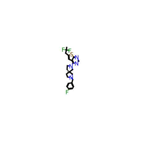 CC(F)(F)Cc1cc2c(N3CC[C@@]4(CCN(Cc5ccc(F)cc5)C4)C3)ncnc2s1